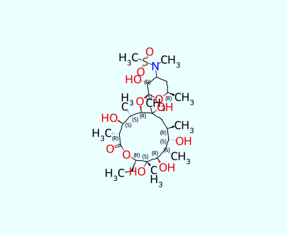 CC[C@H]1OC(=O)[C@H](C)[C@@H](O)[C@H](C)[C@@H](O[C@@H]2O[C@H](C)CC(N(C)S(C)(=O)=O)[C@H]2O)C(C)(O)C[C@@H](C)[C@H](O)[C@H](C)[C@@H](O)[C@]1(C)O